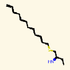 C=CCCCCCCCCCCSCC(=N)CC